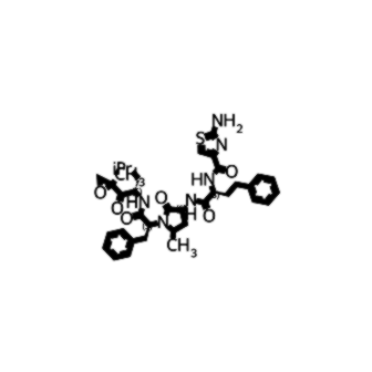 CC(C)C[C@H](NC(=O)[C@H](Cc1ccccc1)N1C(=O)[C@@H](NC(=O)[C@H](CCc2ccccc2)NC(=O)c2csc(N)n2)CC1C)C(=O)C1(C)CO1